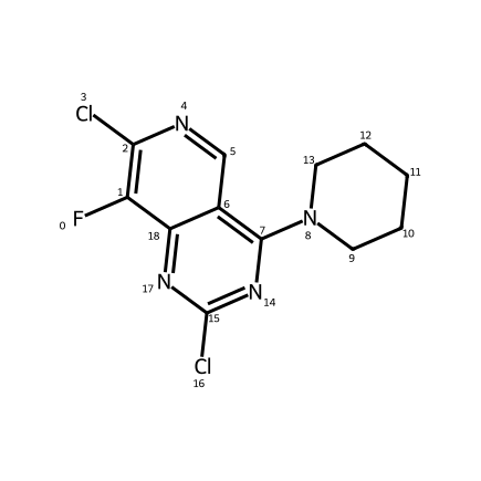 Fc1c(Cl)ncc2c(N3CCCCC3)nc(Cl)nc12